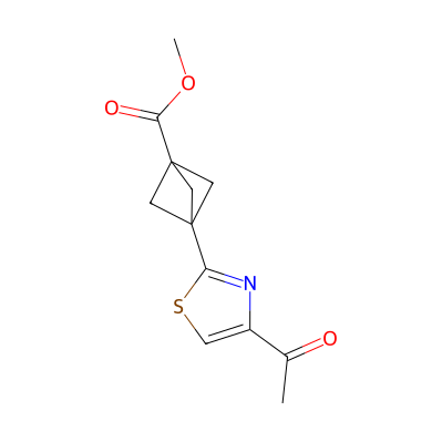 COC(=O)C12CC(c3nc(C(C)=O)cs3)(C1)C2